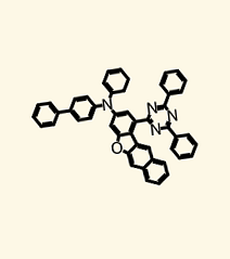 C1=CCCC(N(c2ccc(-c3ccccc3)cc2)c2cc(-c3nc(-c4ccccc4)nc(-c4ccccc4)n3)c3c(c2)oc2cc4ccccc4cc23)=C1